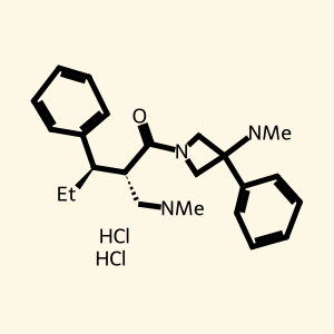 CC[C@@H](c1ccccc1)[C@@H](CNC)C(=O)N1CC(NC)(c2ccccc2)C1.Cl.Cl